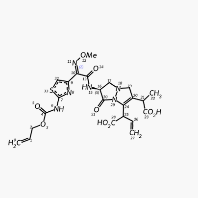 C=CCOC(=O)Nc1nc(/C(=N/OC)C(=O)N[C@H]2CN3CC(C(C)C(=O)O)=C(C(C=C)C(=O)O)N3C2=O)cs1